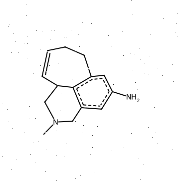 CN1Cc2cc(N)cc3c2C(C=CCC3)C1